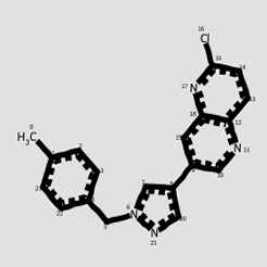 Cc1ccc(Cn2cc(-c3cnc4ccc(Cl)nc4c3)cn2)cc1